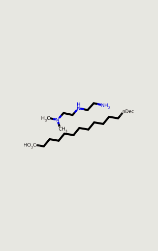 CCCCCCCCCCCCCCCCCCCCCC(=O)O.CN(C)CCNCCN